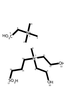 C[N+](C)(C)CC(=O)O.C[N+](CCO)(CCO)CCCS(=O)(=O)O